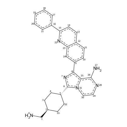 NC[C@H]1CC[C@H](c2nc(-c3ccc4ccc(-c5ccccc5)nc4c3)c3c(N)nccn32)CC1